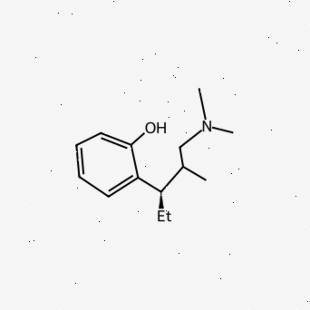 CC[C@@H](c1ccccc1O)C(C)CN(C)C